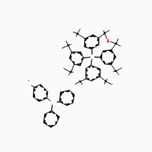 COc1ccc([S+](c2ccccc2)c2ccccc2)cc1.FC(F)(F)c1cc([B-](c2cc(C(F)(F)F)cc(C(F)(F)F)c2)(c2cc(C(F)(F)F)cc(C(F)(F)F)c2)c2cc(C(F)(F)F)cc(C(F)(F)F)c2)cc(C(F)(F)F)c1